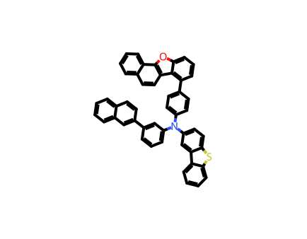 c1cc(-c2ccc3ccccc3c2)cc(N(c2ccc(-c3cccc4oc5c6ccccc6ccc5c34)cc2)c2ccc3sc4ccccc4c3c2)c1